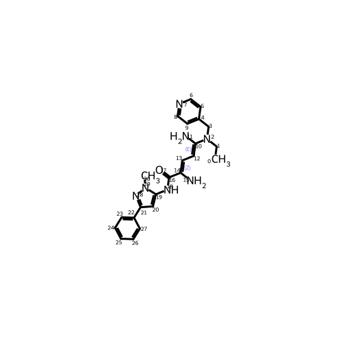 CCN(Cc1ccncc1)/C(N)=C/C=C(\N)C(=O)Nc1cc(-c2ccccc2)nn1C